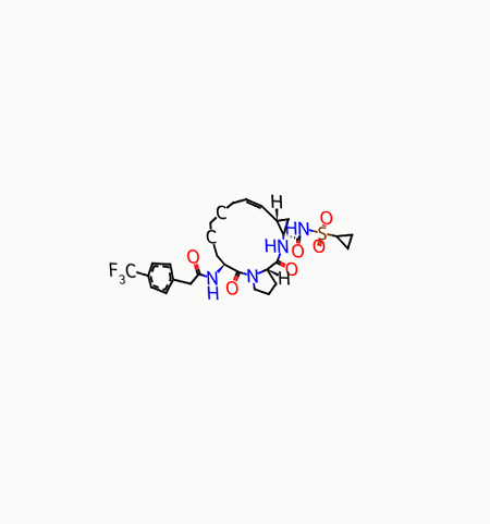 O=C(Cc1ccc(C(F)(F)F)cc1)N[C@H]1CCCCC/C=C\[C@@H]2C[C@@]2(C(=O)NS(=O)(=O)C2CC2)NC(=O)[C@@H]2CCCN2C1=O